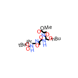 CCCCOCC(NC(=O)c1coc(C(NC(=O)OC(C)(C)C)C(C)C)n1)c1nc(C(=O)OC)co1